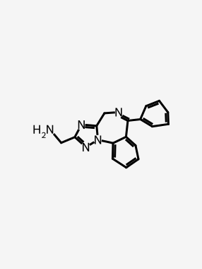 NCc1nc2n(n1)-c1ccccc1C(c1ccccc1)=NC2